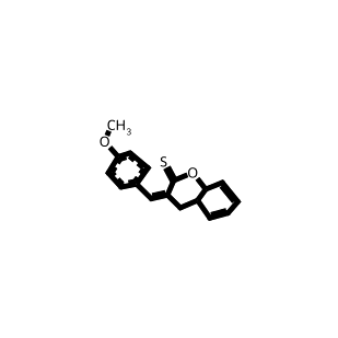 COc1ccc(C=C2CC3C=CC=CC3OC2=S)cc1